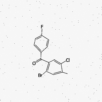 Cc1cc(Br)c(C(=O)c2ccc(F)cc2)cc1Cl